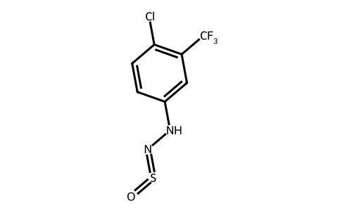 O=S=NNc1ccc(Cl)c(C(F)(F)F)c1